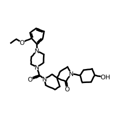 CCOc1ccccc1N1CCN(C(=O)N2CCCC3(CCN(C4CCC(O)CC4)C3=O)C2)CC1